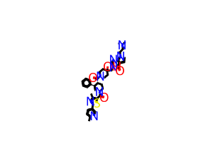 Cc1ccc(-c2nc(C)c(C(=O)N3CC[C@@H](C(=O)N4CCC(O)(Cn5cnc6c(ccn6CCN(C)C)c5=O)CC4)[C@H](c4ccccc4)C3)s2)cn1